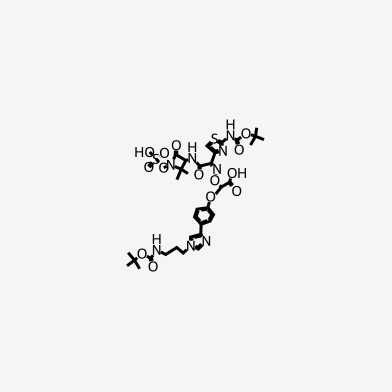 CC(C)(C)OC(=O)NCCCn1cnc(-c2ccc(OCC(ON=C(C(=O)NC3C(=O)N(OS(=O)(=O)O)C3(C)C)c3csc(NC(=O)OC(C)(C)C)n3)C(=O)O)cc2)c1